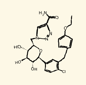 CCOc1ccc(Cc2cc([C@@H]3O[C@H](Cn4cc(C(N)=O)nn4)[C@@H](O)[C@H](O)[C@H]3O)ccc2Cl)cc1